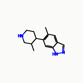 Cc1cc2cn[nH]c2cc1C1CCNCC1C